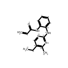 C=CC(=O)Nc1ccccc1Nc1ncc(CC)c(C)n1